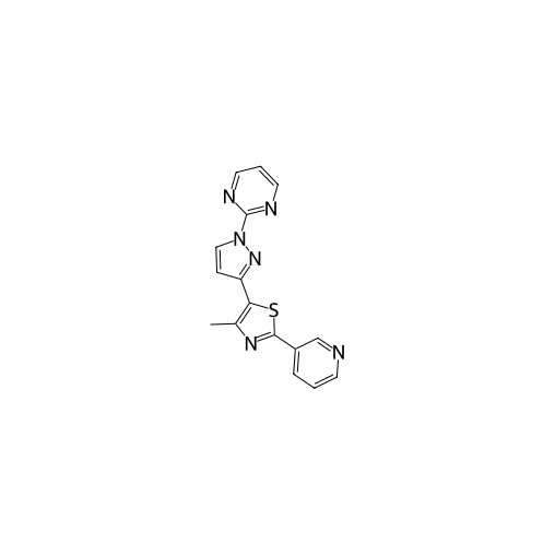 Cc1nc(-c2cccnc2)sc1-c1ccn(-c2ncccn2)n1